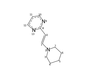 C(=C\N1CCCCC1)/c1ncccn1